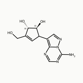 Nc1ncnc2c(C3C=C(CO)[C@H](O)[C@H]3O)cnn12